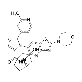 Cc1cc(C2OC=C(C(N)=O)N2c2cc3sc(N4CCOCC4)nc3nc2N2C3CCC2CC(O)C3)ccn1